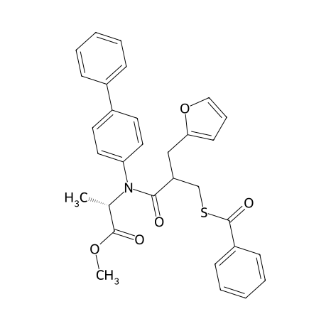 COC(=O)[C@H](C)N(C(=O)C(CSC(=O)c1ccccc1)Cc1ccco1)c1ccc(-c2ccccc2)cc1